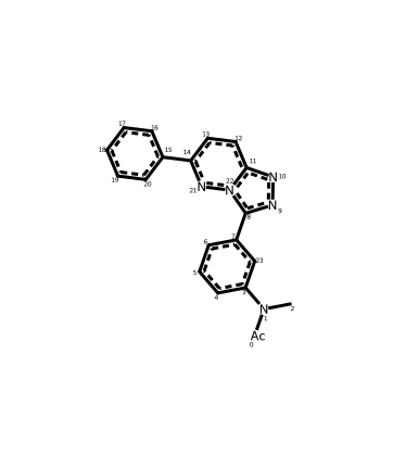 CC(=O)N(C)c1cccc(-c2nnc3ccc(-c4ccccc4)nn23)c1